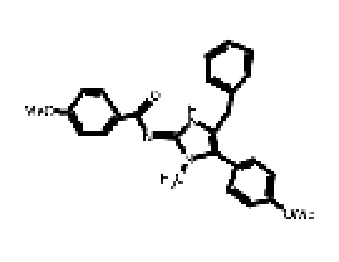 COc1ccc(C(=O)/N=c2\[nH]c(Cc3ccccc3)c(-c3ccc(OC)cc3)n2C)cc1